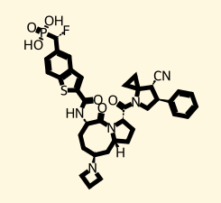 N#C[C@@H]1[C@@H](c2ccccc2)CN(C(=O)[C@@H]2CC[C@@H]3C[C@@H](N4CCC4)CC[C@H](NC(=O)c4cc5cc([C@@H](F)P(=O)(O)O)ccc5s4)C(=O)N32)C12CC2